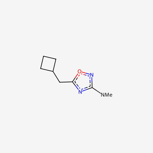 CNc1noc(CC2CCC2)n1